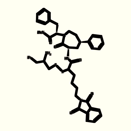 CNC(=O)[C@H](Cc1ccccc1)N1CC[C@H](c2ccccc2)C[C@H](NC(=O)C(CCCCN2C(=O)c3ccccc3C2=O)SSCC(N)CC(C)C)C1=O